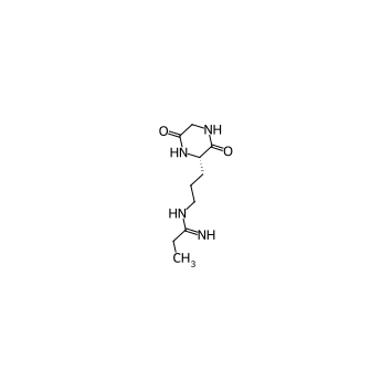 CCC(=N)NCCC[C@@H]1NC(=O)CNC1=O